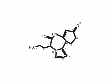 CCCC1C(=O)NC2=CC(=O)CCC2c2cccn21